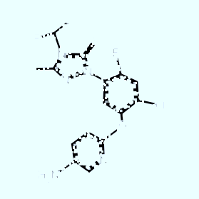 Cc1nn(-c2cc(Oc3ccc(N)cn3)c(Cl)cc2F)c(=O)n1C(F)F